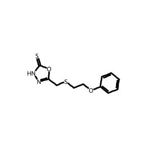 S=c1[nH]nc(CSCCOc2ccccc2)o1